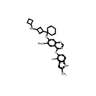 COc1cc2c(Oc3ccc4[nH]c(C)cc4c3F)ncnc2cc1OC1(C2CC(NC3CCC3)C2)CCCCC1